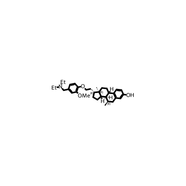 CCN(CC)Cc1ccc(OCC[C@H]2CC[C@H]3[C@@H]4[C@H](C)Cc5cc(O)ccc5[C@H]4CC[C@]23C)c(OC)c1